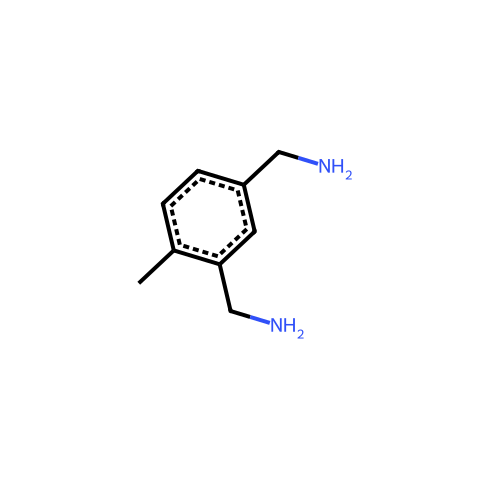 Cc1ccc(CN)cc1CN